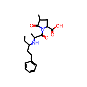 CCC(CCc1ccccc1)NC(C)C(=O)N1C(=O)C(C)CC1C(=O)O